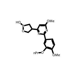 CCCOc1cc(-c2nc(OC)cc(C3COB(O)C3)n2)ccc1OC